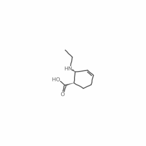 CCN[C@H]1C=CCC[C@H]1C(=O)O